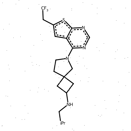 CC(C)CNC1CC2(CCN(c3ncnc4sc(CC(F)(F)F)cc34)C2)C1